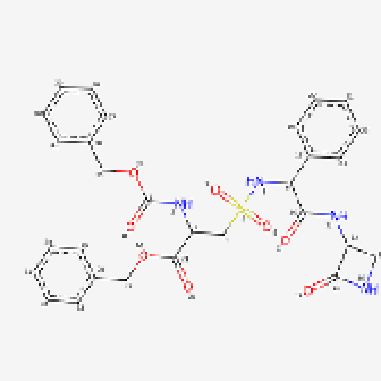 O=C(NC(CS(=O)(=O)NC(C(=O)NC1CNC1=O)c1ccccc1)C(=O)OCc1ccccc1)OCc1ccccc1